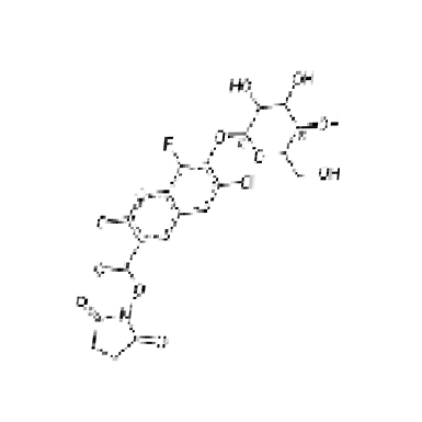 O=C(ON1C(=O)CCC1=O)c1cc2cc(Cl)c(O[C@@H]3OC(CO)[C@H](O)C(O)C3O)c(F)c2oc1=O